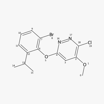 COc1cc(Oc2c(Br)cccc2C(C)C)nnc1Cl